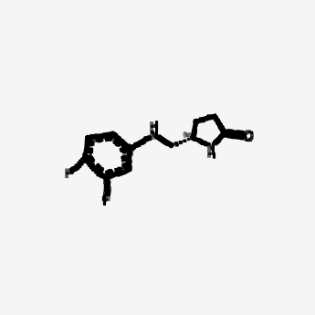 O=C1CC[C@@H](CNc2ccc(F)c(F)c2)N1